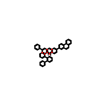 c1ccc(-c2ccc(N(c3ccc(-c4ccc5c(ccc6ccccc65)c4)cc3)c3cccc(-c4ccccc4)c3-c3ccccc3-c3ccccc3)cc2)cc1